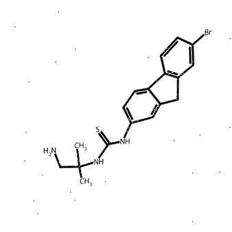 CC(C)(CN)NC(=S)Nc1ccc2c(c1)Cc1cc(Br)ccc1-2